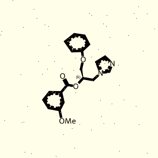 COc1cccc(C(=O)O[C@@H](COc2ccccc2)Cn2ccnc2)c1